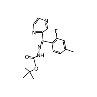 Cc1ccc(/C(=N\NC(=O)OC(C)(C)C)c2cnccn2)c(F)c1